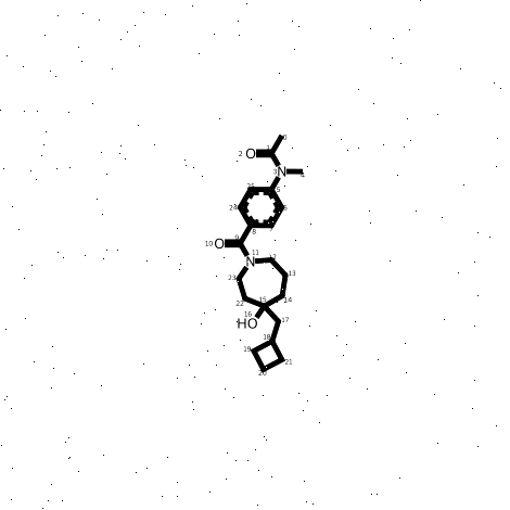 CC(=O)N(C)c1ccc(C(=O)N2CCCC(O)(CC3CCC3)CC2)cc1